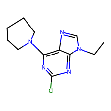 CCn1cnc2c(N3CCCCC3)nc(Cl)nc21